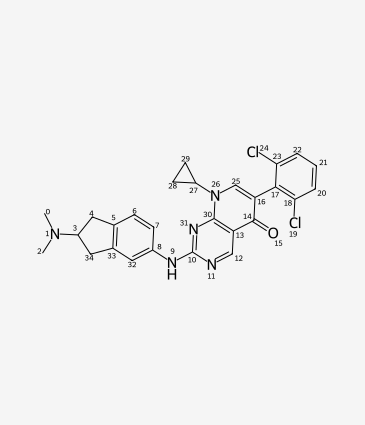 CN(C)C1Cc2ccc(Nc3ncc4c(=O)c(-c5c(Cl)cccc5Cl)cn(C5CC5)c4n3)cc2C1